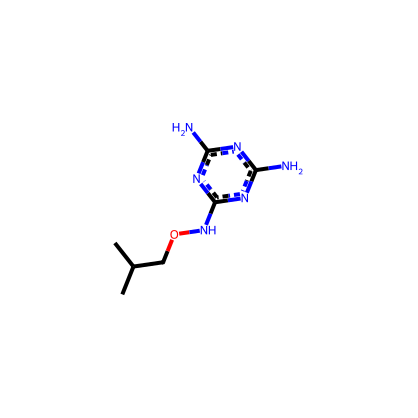 CC(C)CONc1nc(N)nc(N)n1